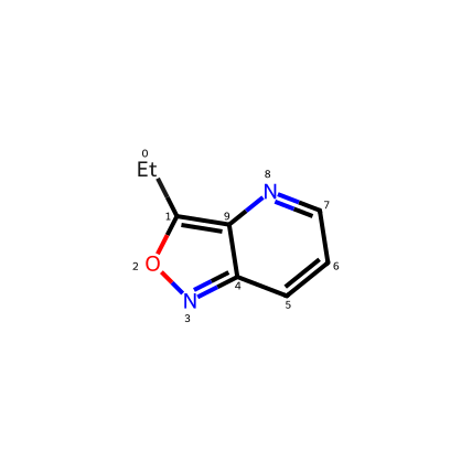 CCc1onc2cccnc12